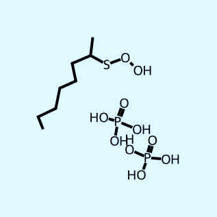 CCCCCCC(C)SOO.O=P(O)(O)O.O=P(O)(O)O